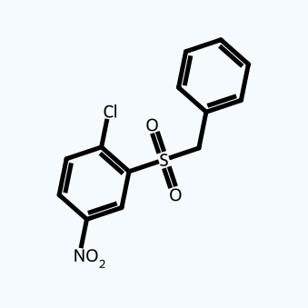 O=[N+]([O-])c1ccc(Cl)c(S(=O)(=O)Cc2ccccc2)c1